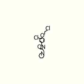 ClCCCOc1ccc(-c2nc(CN3CCCCC3)co2)cc1Cl